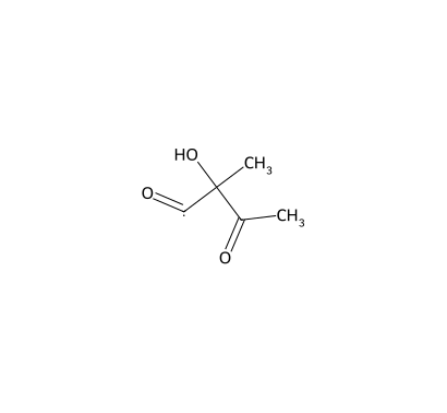 CC(=O)C(C)(O)[C]=O